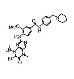 CCC1C(=O)N(C)c2cnc(Nc3ccc(C(=O)Nc4ccc(CN5CCCCC5)cc4)cc3OC)nc2N1N(C)C